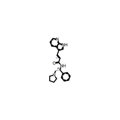 O=C(/C=C/c1c[nH]c2ncccc12)N[C@@H](CN1CCCC1)c1ccccc1